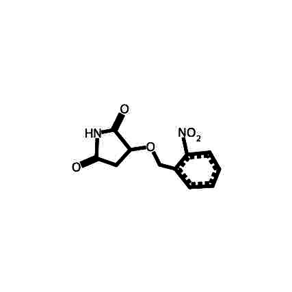 O=C1CC(OCc2ccccc2[N+](=O)[O-])C(=O)N1